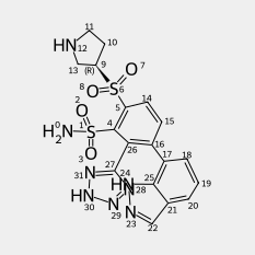 NS(=O)(=O)c1c(S(=O)(=O)[C@@H]2CCNC2)ccc(-c2cccc3cn[nH]c23)c1-c1nn[nH]n1